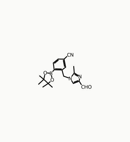 Cc1nc(C=O)cn1Cc1cc(C#N)ccc1B1OC(C)(C)C(C)(C)O1